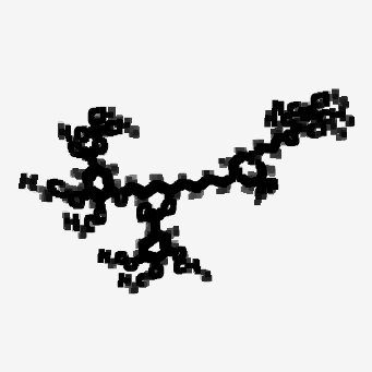 COc1cc(C(=O)OC(CCCCN2CCN(CCCO[Si](C)(C)C(C)(C)C)CC(F)(F)C2)CCCOc2cc(C(=O)OC(C)(C)C)cc(OC)c2OC)cc(OC)c1OC